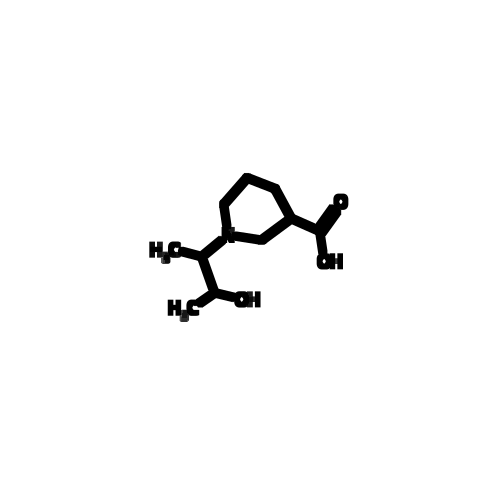 CC(O)C(C)N1CCCC(C(=O)O)C1